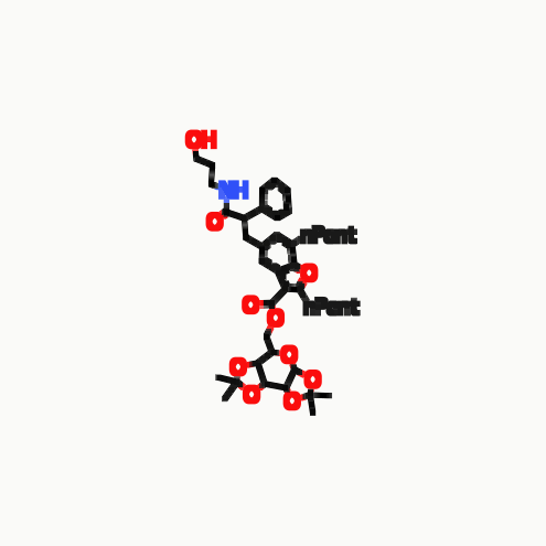 CCCCCc1oc2c(CCCCC)cc(CC(C(=O)NCCCO)c3ccccc3)cc2c1C(=O)OCC1OC2OC(C)(C)OC2C2OC(C)(C)OC12